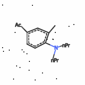 CCCN(CCC)c1ccc(C(C)=O)cc1C